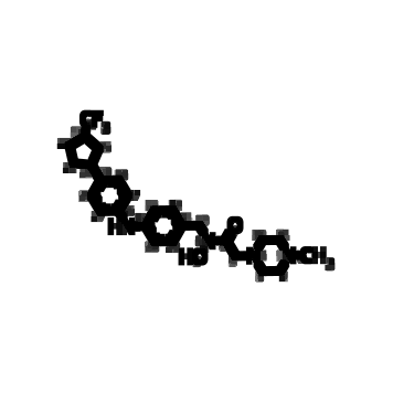 CN1CCN(CC(=O)N(O)Cc2ccc(Nc3ccc(C4CCC(C(F)(F)F)C4)cc3)cc2)CC1